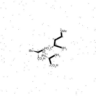 CC(C)[C@H](N)C(=O)O.CC[C@H](C)[C@H](N)C(=O)O.CSCC[C@H](N)C(=O)O